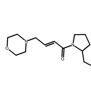 CCC1CCCN1C(=O)/C=C/CN1CCOCC1